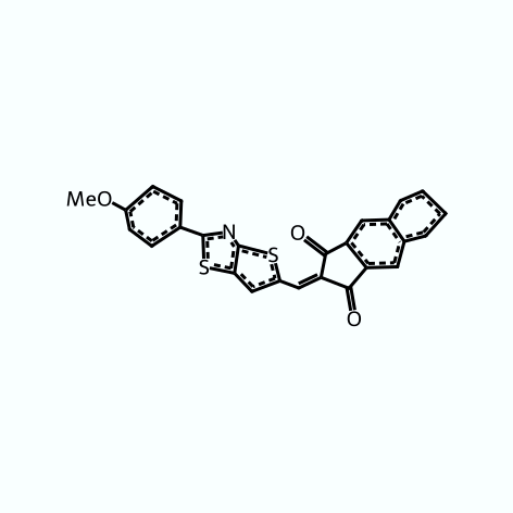 COc1ccc(-c2nc3sc(C=C4C(=O)c5cc6ccccc6cc5C4=O)cc3s2)cc1